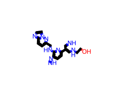 N=C/C(=C\NCCO)c1ccc(N=N)c(NCc2ccc3nccn3n2)n1